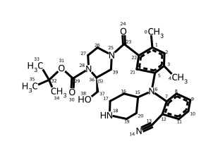 Cc1cc(C)c(N(c2ccccc2C#N)C2CCNCC2)cc1C(=O)N1CCN(C(=O)OC(C)(C)C)[C@H](CO)C1